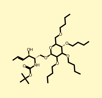 C/C=C/[C@@H](O)[C@H](CO[C@H]1OC(COCCCC)[C@H](OCCCC)C(OCCCC)C1OCCCC)NC(=O)OC(C)(C)C